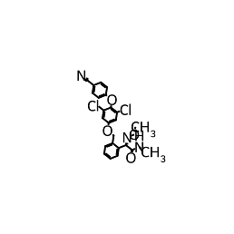 CNC(=O)C(=NOC)c1ccccc1COc1cc(Cl)c(Oc2ccc(C#N)cc2)c(Cl)c1